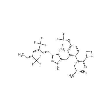 C\C=C(/C=C(\C=C\[C@H]1OC(=O)N(Cc2cc(OC(F)(F)F)ccc2N(CC(C)C)C(=O)C2CCC2)[C@H]1C)C(F)(F)F)C(F)(F)F